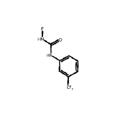 O=C(NF)Nc1cccc(C(F)(F)F)c1